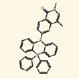 Cc1cn(C)c(=O)c2ccc(N3c4ccccc4[Si](c4ccccc4)(c4ccccc4)c4ccccc43)cc12